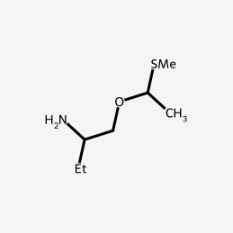 CCC(N)COC(C)SC